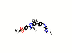 Cc1cc(-c2ccc(CN3CC4(CN(C)C4)C3)cc2)cc2c1nc(-c1ccc(S(C)(=O)=O)cc1)n2C